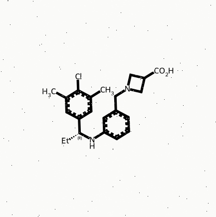 CC[C@@H](Nc1cccc(CN2CC(C(=O)O)C2)c1)c1cc(C)c(Cl)c(C)c1